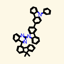 CC1(C)c2ccccc2-c2c(-c3nc(-n4c5ccccc5c5cc(-c6ccc7c(c6)c6ccccc6n7-c6ccccc6)ccc54)nc4ccccc34)cccc21